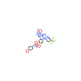 COc1ccc(CN(C)S(=O)(=O)c2ccc(Nc3ccc(C(F)(F)F)cn3)c(-c3cn4c(n3)OC(C)C4)c2)cc1